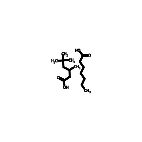 CC(CC(=O)O)CC(C)(C)C.CCCCCCC(=O)O